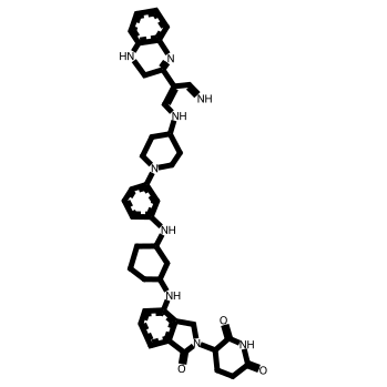 N=C/C(=C\NC1CCN(c2cccc(NC3CCCC(Nc4cccc5c4CN(C4CCC(=O)NC4=O)C5=O)C3)c2)CC1)C1=Nc2ccccc2NC1